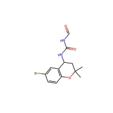 CC1(C)CC(NC(=O)NC=O)c2cc(Br)ccc2O1